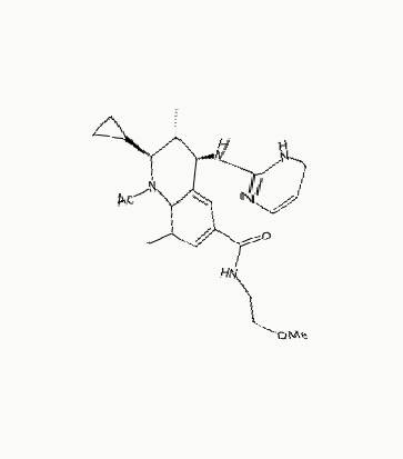 COCCNC(=O)C1=CC(C)C2C(=C1)[C@H](NC1=NC=CCN1)[C@@H](C)[C@H](C1CC1)N2C(C)=O